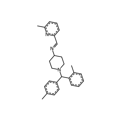 Cc1ccc(C(c2ccccc2C)N2CCC(N=Cc3cccc(C)n3)CC2)cc1